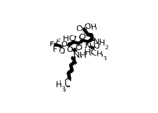 CCCCCCCNC(=O)O[C@@H]([C@@H]1OC(C(=O)O)=C[C@H](N)[C@H]1NC(C)=O)[C@H](O)COC(=O)C(F)(F)F